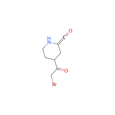 O=C=C1CC(C(=O)CBr)CCN1